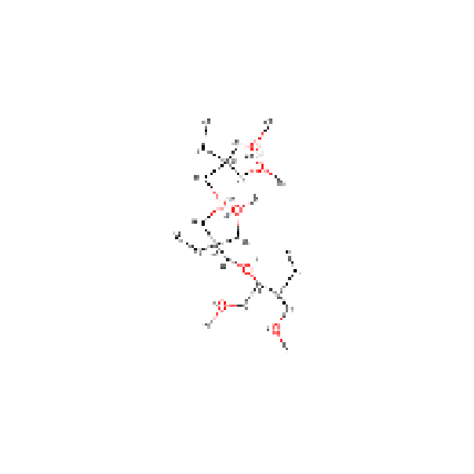 CCC(COC)C(COC)OCC(CC)(COC)COCC(CC)(COC)COC